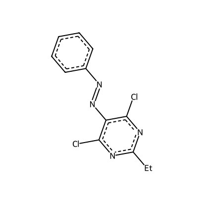 CCc1nc(Cl)c(/N=N/c2ccccc2)c(Cl)n1